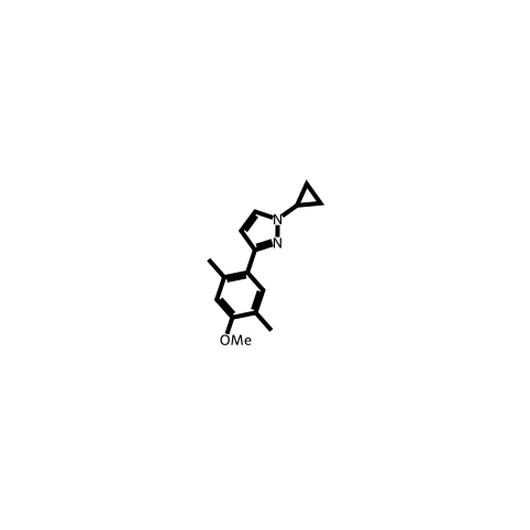 COc1cc(C)c(-c2ccn(C3CC3)n2)cc1C